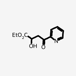 CCOC(=O)C(O)CC(=O)c1ccccn1